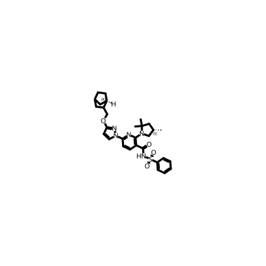 C[C@@H]1CN(c2nc(-n3ccc(OCC4CC5CC[C@@H]4C5)n3)ccc2C(=O)NS(=O)(=O)c2ccccc2)C(C)(C)C1